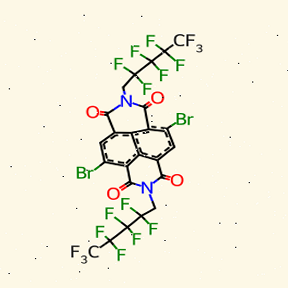 O=C1c2cc(Br)c3c4c(cc(Br)c(c24)C(=O)N1CC(F)(F)C(F)(F)C(F)(F)C(F)(F)F)C(=O)N(CC(F)(F)C(F)(F)C(F)(F)C(F)(F)F)C3=O